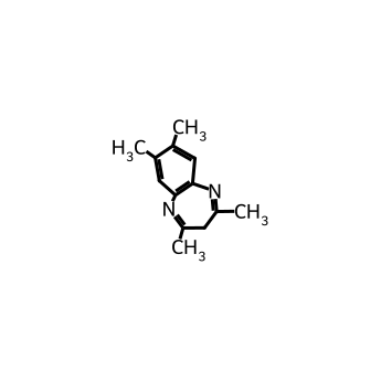 CC1=Nc2cc(C)c(C)cc2N=C(C)C1